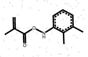 C=C(C)C(=O)ONc1cccc(C)c1C